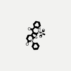 CS(=O)(=O)Nc1sc2c(ccc(=O)n2-c2ccccc2)c1C(=O)c1ccccc1